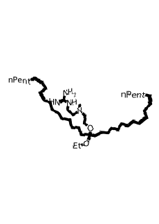 CCCCC/C=C\C/C=C\CCCCCCCCC(CCCCCCCC/C=C\C/C=C\CCCCC)(OCC)OCCN(C)CCNC(=N)N